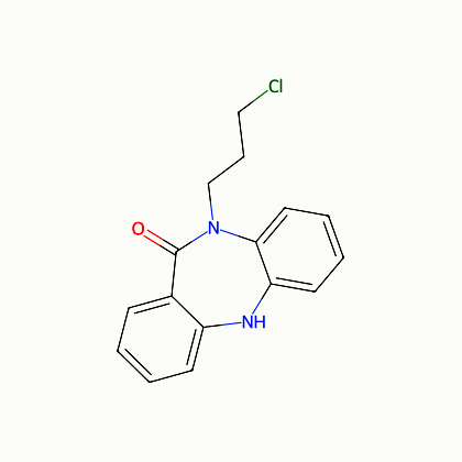 O=C1c2ccccc2Nc2ccccc2N1CCCCl